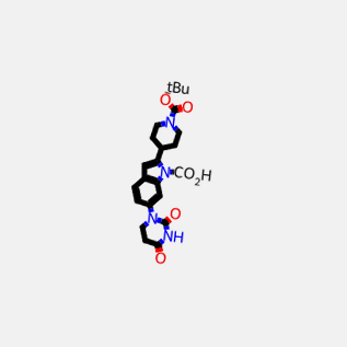 CC(C)(C)OC(=O)N1CCC(c2cc3ccc(N4CCC(=O)NC4=O)cc3n2C(=O)O)CC1